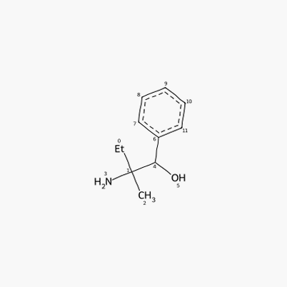 CCC(C)(N)C(O)c1ccccc1